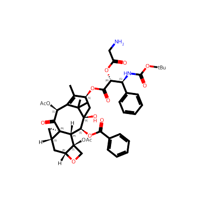 CC(=O)O[C@@H]1C(=O)[C@]23C[C@H]2C[C@H]2OC[C@@]2(OC(C)=O)[C@H]3[C@H](OC(=O)c2ccccc2)[C@@]2(O)C[C@H](OC(=O)[C@H](OC(=O)CN)[C@@H](NC(=O)OC(C)(C)C)c3ccccc3)C(C)=C1C2(C)C